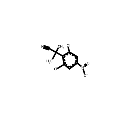 CC(C)(C#N)c1c(Cl)cc([N+](=O)[O-])cc1Cl